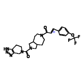 O=C(/C=C/c1ccc(OC(F)(F)F)cc1)N1CCC2CN(C(=O)N3CCc4[nH]nnc4C3)CC2CC1